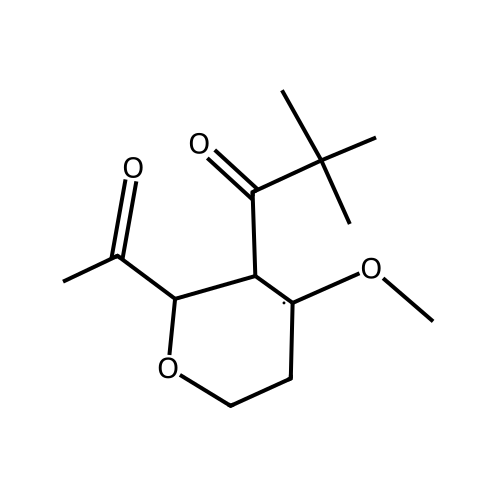 CO[C]1CCOC(C(C)=O)C1C(=O)C(C)(C)C